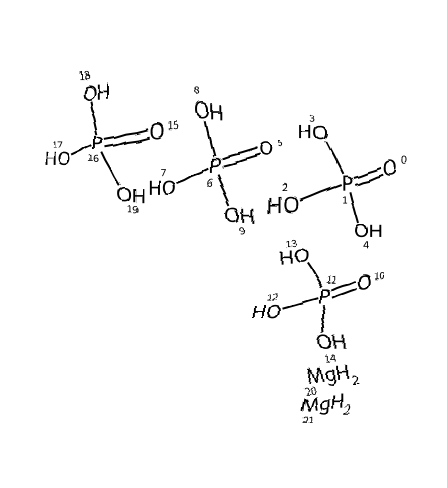 O=P(O)(O)O.O=P(O)(O)O.O=P(O)(O)O.O=P(O)(O)O.[MgH2].[MgH2]